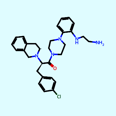 NCCNc1ccccc1N1CCN(C(=O)[C@@H](Cc2ccc(Cl)cc2)N2[CH]Cc3ccccc3C2)CC1